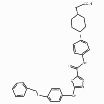 O=C(O)C[C@H]1CC[C@H](c2ccc(NC(=O)c3nnc(Nc4ccc(OCc5ccccc5)cc4)o3)cc2)CC1